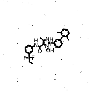 CCC(F)(F)c1cccc(NC(=O)c2c(C)[nH]c(-c3cccc(-c4c(C)cccc4C)c3)[n+]2O)c1